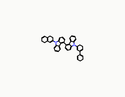 C1=CC(C2=CCCC(n3c4ccccc4c4c(-c5cccc6c5c5ccccc5n6C5=CC6=C(C=CCC6)CC5)cccc43)=C2)=CCC1